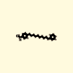 ClPc1ccc(CCCCCCCCCCc2ccccc2)cc1